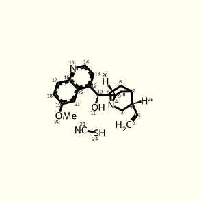 C=C[C@@H]1CN2CCC1C[C@H]2[C@@H](O)c1ccnc2ccc(OC)cc12.N#CS